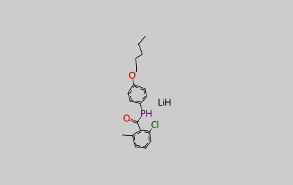 CCCCCOc1ccc(PC(=O)c2c(C)cccc2Cl)cc1.[LiH]